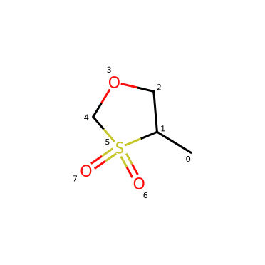 CC1COCS1(=O)=O